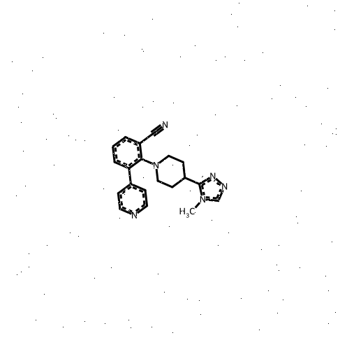 Cn1cnnc1C1CCN(c2c(C#N)cccc2-c2ccncc2)CC1